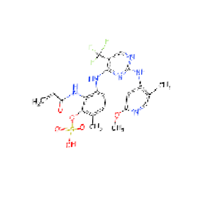 C=CC(=O)Nc1c(Nc2nc(Nc3cc(OC)ncc3C)ncc2C(F)(F)F)ccc(C)c1OS(=O)(=O)O